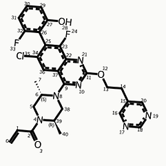 C=CC(=O)N1C[C@H](C)N(c2nc(OCCc3cncnc3)nc3c(F)c(-c4c(O)cccc4F)c(Cl)cc23)C[C@H]1C